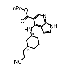 CCCOC(=O)c1cnc2[nH]ccc2c1N[C@H]1CCC[C@@H](CCC#N)C1